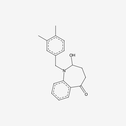 Cc1ccc(CN2c3ccccc3C(=O)CCC2O)cc1C